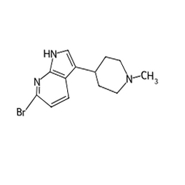 CN1CCC(c2c[nH]c3nc(Br)ccc23)CC1